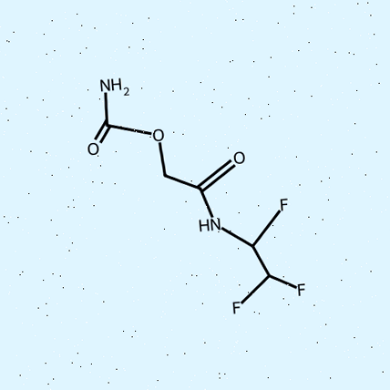 NC(=O)OCC(=O)NC(F)C(F)F